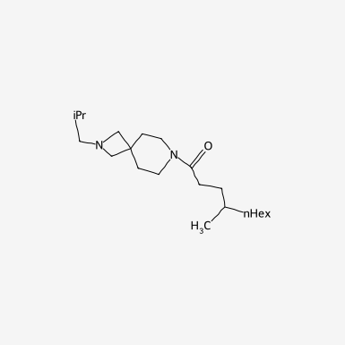 CCCCCCC(C)CCC(=O)N1CCC2(CC1)CN(CC(C)C)C2